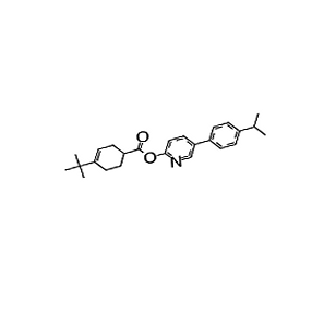 CC(C)c1ccc(-c2ccc(OC(=O)C3CC=C(C(C)(C)C)CC3)nc2)cc1